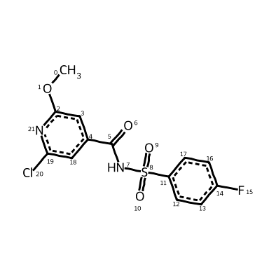 COc1cc(C(=O)NS(=O)(=O)c2ccc(F)cc2)cc(Cl)n1